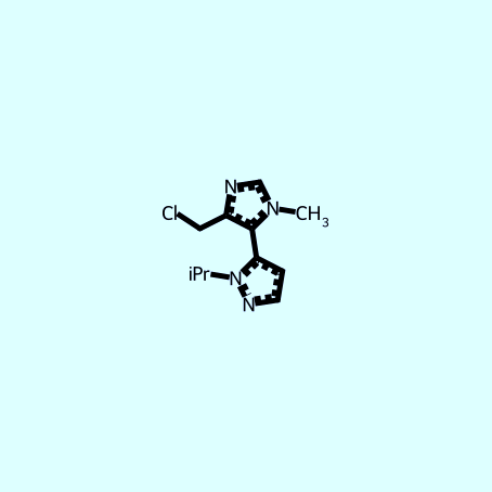 CC(C)n1nccc1-c1c(CCl)ncn1C